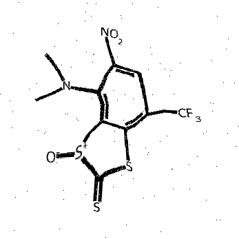 CN(C)c1c([N+](=O)[O-])cc(C(F)(F)F)c2sc(=S)[s+]([O-])c12